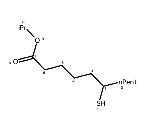 CCCCCC(S)CCCCC(=O)OC(C)C